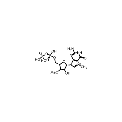 COC1C(O)[C@H](n2c[n+](C)c3c(=O)[nH]c(N)nc32)O[C@@H]1COP(=O)(O)OP(=O)(O)O